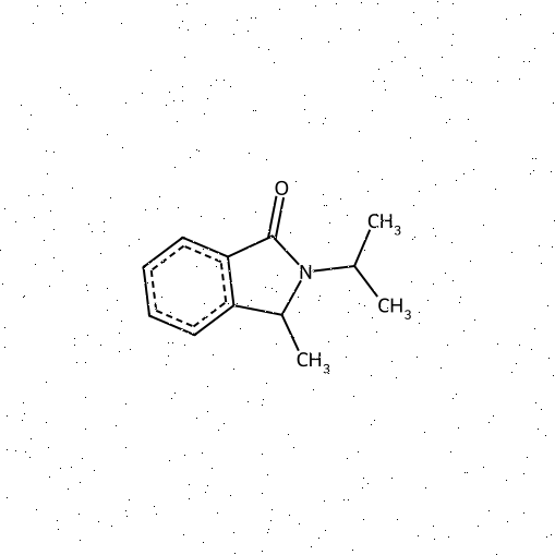 CC(C)N1C(=O)c2ccccc2C1C